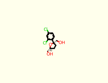 OC[C@H]1CC[C@](CO)(c2ccc(Cl)cc2Cl)O1